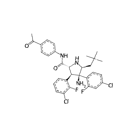 CC(=O)c1ccc(NC(=O)[C@@H]2N[C@@H](CC(C)(C)C)[C@](N)(c3ccc(Cl)cc3F)[C@H]2c2cccc(Cl)c2F)cc1